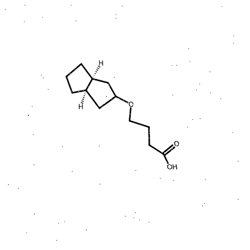 O=C(O)CCCOC1C[C@H]2CCC[C@H]2C1